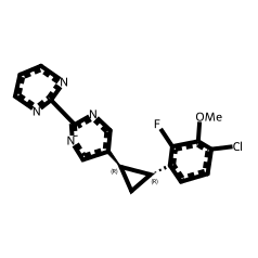 COc1c(Cl)ccc([C@@H]2C[C@H]2c2cnc(-c3ncccn3)nc2)c1F